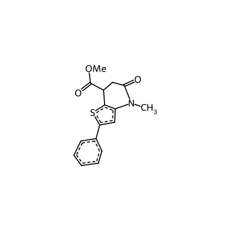 COC(=O)C1CC(=O)N(C)c2cc(-c3ccccc3)sc21